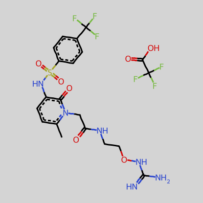 Cc1ccc(NS(=O)(=O)c2ccc(C(F)(F)F)cc2)c(=O)n1CC(=O)NCCONC(=N)N.O=C(O)C(F)(F)F